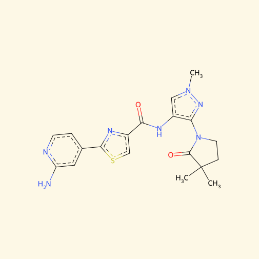 Cn1cc(NC(=O)c2csc(-c3ccnc(N)c3)n2)c(N2CCC(C)(C)C2=O)n1